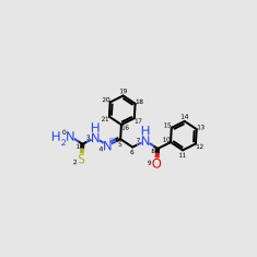 NC(=S)N/N=C(/CNC(=O)c1ccccc1)c1ccccc1